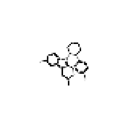 Cc1ccc2c(c1)c1c(n2[C@@H]2CCCC[C@@H]2c2ccc(F)cc2)CCN(C)C1